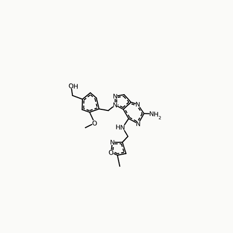 COc1cc(CO)ccc1Cn1ncc2nc(N)nc(NCc3cc(C)on3)c21